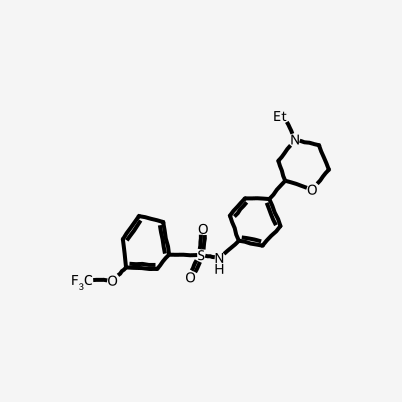 CCN1CCOC(c2ccc(NS(=O)(=O)c3cccc(OC(F)(F)F)c3)cc2)C1